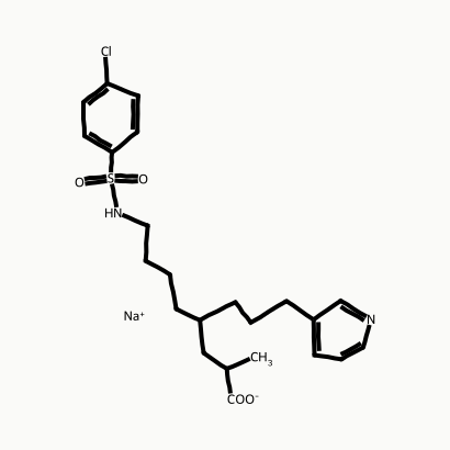 CC(CC(CCCCNS(=O)(=O)c1ccc(Cl)cc1)CCCc1cccnc1)C(=O)[O-].[Na+]